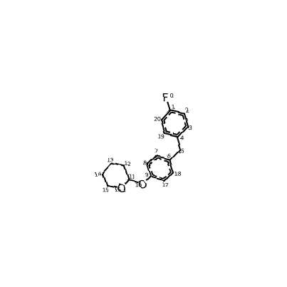 Fc1ccc([CH]c2ccc(OC3CCCCO3)cc2)cc1